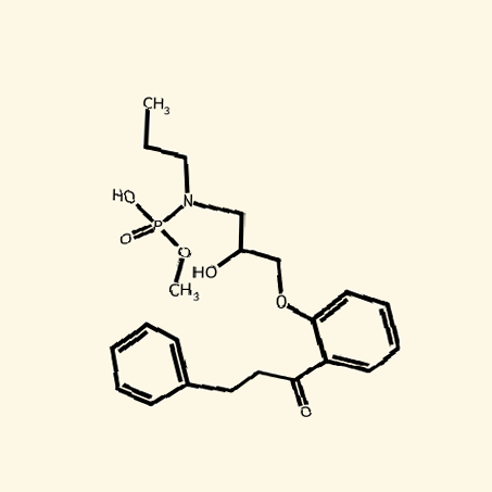 CCCN(CC(O)COc1ccccc1C(=O)CCc1ccccc1)P(=O)(O)OC